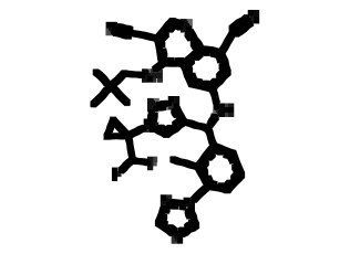 Cc1c([C@H](Nc2cc(C#N)c3ncc(C#N)c(NCC(C)(C)C)c3c2)c2cn(C3(C(F)F)CC3)nn2)cccc1-n1cncn1